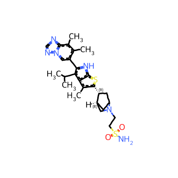 Cc1c(-c2[nH]c3sc([C@@H]4CC5C[C@H]4CN5CCS(N)(=O)=O)c(C)c3c2C(C)C)cn2ncnc2c1C